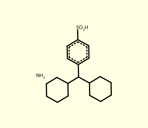 N.O=S(=O)(O)c1ccc(C(C2CCCCC2)C2CCCCC2)cc1